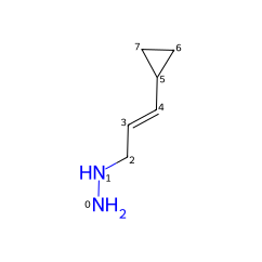 NNCC=CC1CC1